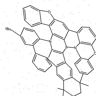 CC(C)(C)c1ccc(N2c3sc4cc5c(cc4c3B3c4c(cc6oc7ccccc7c6c42)-c2cccc4c2N3c2ccccc2O4)C(C)(C)CCC5(C)C)c(-c2ccccc2)c1